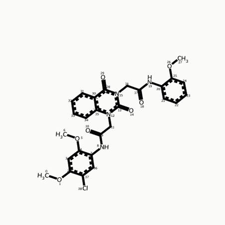 COc1cc(OC)c(NC(=O)Cn2c(=O)n(CC(=O)Nc3ccccc3OC)c(=O)c3ccccc32)cc1Cl